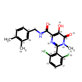 Cc1ccc(CNC(=O)c2nc(-c3c(F)cccc3F)n(C)c(=O)c2O)cc1C